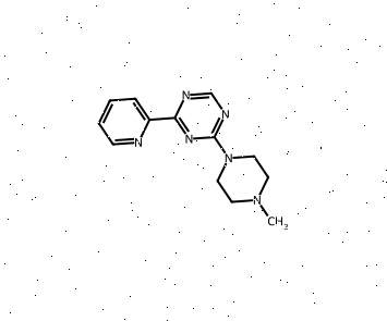 CN1CCN(c2ncnc(-c3ccccn3)n2)CC1